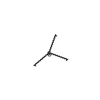 CC(C)CCCCCCCCCCCCCCC[Si]([O])(CCCCCCCCCCCCCCCC(C)C)CCCCCCCCCCCCCCCC(C)C